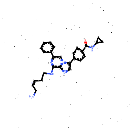 NC/C=C\CCNc1nc(-c2ccccc2)cn2c(-c3ccc(C(=O)NC4CC4)cc3)cnc12